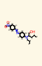 CCCC(CO)N(CCC)c1ccc(N=Nc2ccc([N+](=O)[O-])cc2)cc1